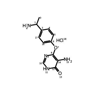 CC(N)c1ccc(Oc2nc[nH]c(=O)c2N)cc1.Cl